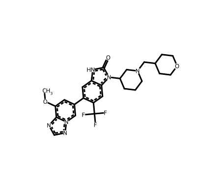 COc1cc(-c2cc3[nH]c(=O)n(C4CCCN(CC5CCOCC5)C4)c3cc2C(F)(F)F)cn2ncnc12